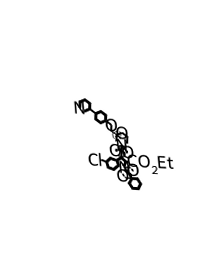 CCOC(=O)c1c(S(=O)(=O)N2CCO[C@H](COc3ccc(-c4cccnc4)cc3)C2)c2cc(Cl)ccc2n1S(=O)(=O)c1ccccc1